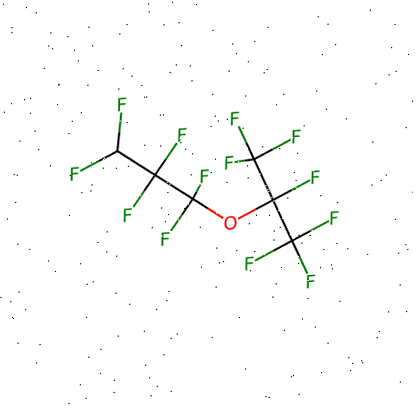 FC(F)C(F)(F)C(F)(F)OC(F)(C(F)(F)F)C(F)(F)F